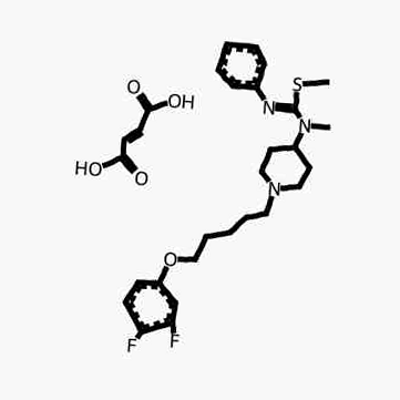 CS/C(=N\c1ccccc1)N(C)C1CCN(CCCCCOc2ccc(F)c(F)c2)CC1.O=C(O)/C=C/C(=O)O